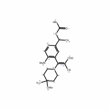 CCCCC(=O)OC(C)c1cc(/C(=C(/C#N)C=O)N2CCC(C)(OC)CC2)c(NC)cn1